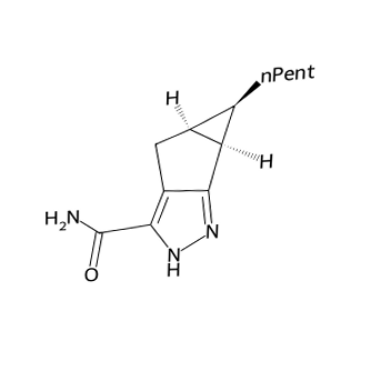 CCCCC[C@@H]1[C@@H]2Cc3c(n[nH]c3C(N)=O)[C@H]12